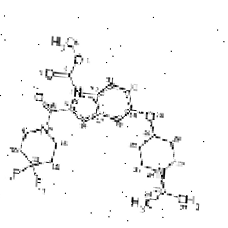 COC(=O)n1c(C(=O)N2CCC(F)(F)CC2)cc2cc(OC3CCN(C(C)C)CC3)ccc21